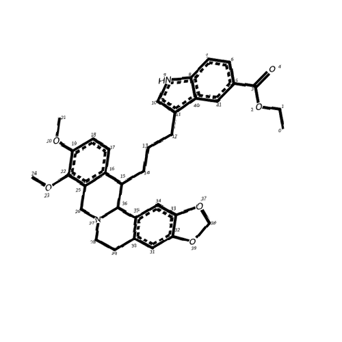 CCOC(=O)c1ccc2[nH]cc(CCCC3c4ccc(OC)c(OC)c4CN4CCc5cc6c(cc5C34)OCO6)c2c1